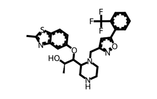 Cc1nc2cc(OC(C3CNCCN3Cc3cc(-c4ccccc4C(F)(F)F)on3)[C@@H](C)O)ccc2s1